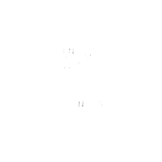 NS(=O)(=O)c1ccc2s[c]nc2c1